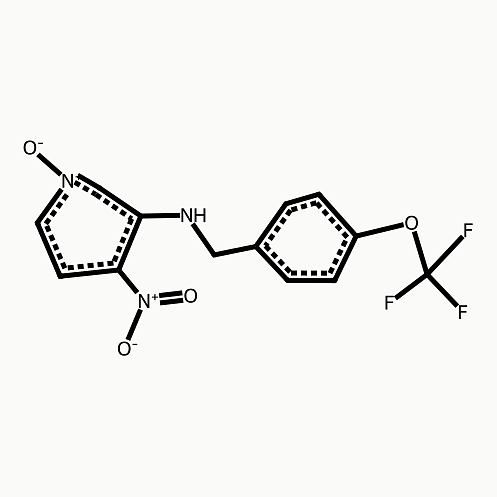 O=[N+]([O-])c1cc[n+]([O-])cc1NCc1ccc(OC(F)(F)F)cc1